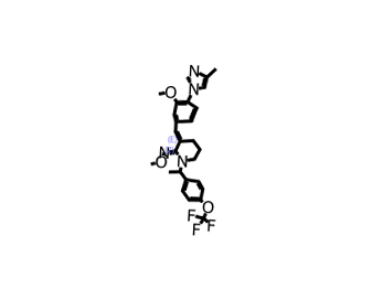 CO/N=C1/C(=C/c2ccc(-n3cnc(C)c3)c(OC)c2)CCCN1C(C)c1ccc(OC(F)(F)F)cc1